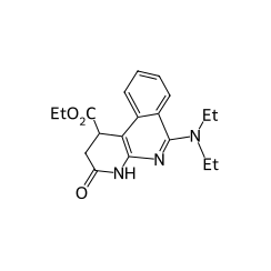 CCOC(=O)C1CC(=O)Nc2nc(N(CC)CC)c3ccccc3c21